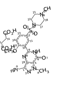 CCCc1nn(C)c2c(=O)[nH]c(-c3cc(S(=O)(=O)N4CCN(C)CC4)ccc3OCC)nc12.O=C(O)CCC(=O)O